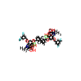 Cc1c(COc2cc(OCc3cc(F)cc(F)c3)c(CN(C)C(C)(CO)C(=O)O)cc2Cl)cccc1-c1cccc(COc2cc(OCc3cc(F)cc(F)c3)c(CN(C)C(C)(CO)C(=O)O)cc2Cl)c1C